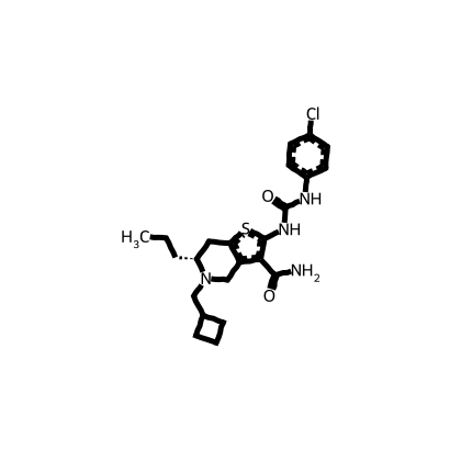 CCC[C@@H]1Cc2sc(NC(=O)Nc3ccc(Cl)cc3)c(C(N)=O)c2CN1CC1CCC1